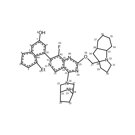 CCc1cccc2cc(O)cc(-c3ncc4c(N5CC6CCC(C5)N6)nc(OCC56CCCN5C5CCCCC5C6)nc4c3F)c12